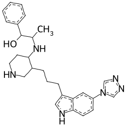 CC(NC1CCNCC1CCCc1c[nH]c2ccc(-n3cnnc3)cc12)C(O)c1ccccc1